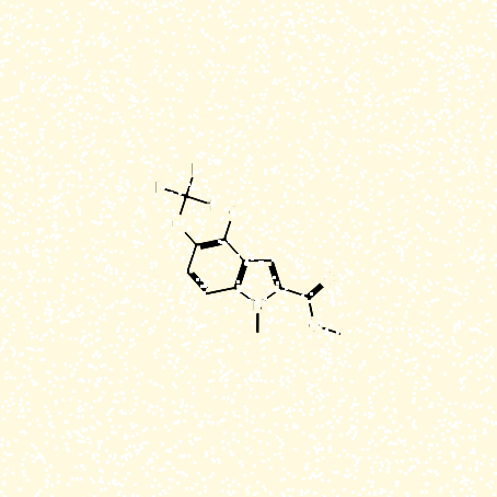 COC(=O)c1cc2c(Cl)c(OC(F)(F)F)ccc2n1C